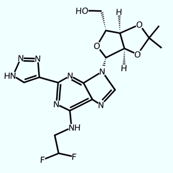 CC1(C)O[C@@H]2[C@H](O1)[C@@H](CO)O[C@H]2n1cnc2c(NCC(F)F)nc(-c3c[nH]nn3)nc21